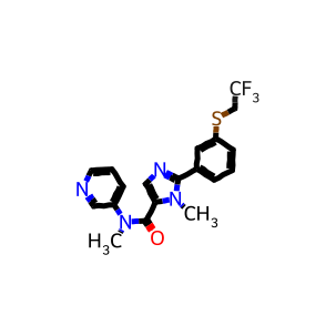 CN(C(=O)c1cnc(-c2cccc(SCC(F)(F)F)c2)n1C)c1cccnc1